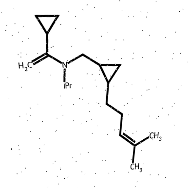 C=C(C1CC1)N(CC1CC1CCC=C(C)C)C(C)C